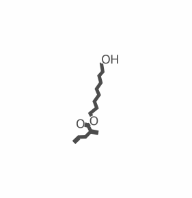 C=CCC(=C)C(=O)OCCCCCCCCCO